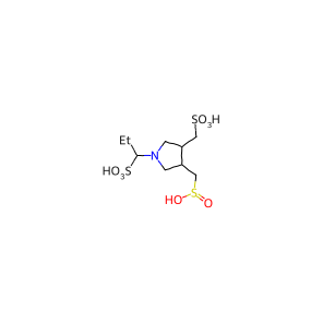 CCC(N1CC(CS(=O)O)C(CS(=O)(=O)O)C1)S(=O)(=O)O